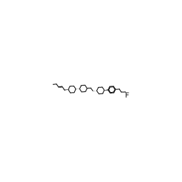 CC/C=C/C[C@H]1CC[C@H](C2CCC(CC[C@H]3CC[C@H](c4ccc(CCCF)cc4)CC3)CC2)CC1